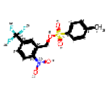 Cc1ccc(S(=O)(=O)OCc2cc(C(F)(F)F)ccc2[N+](=O)[O-])cc1